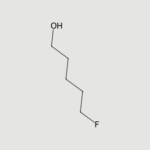 OCCCCCF